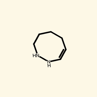 C1=CNNCCCC1